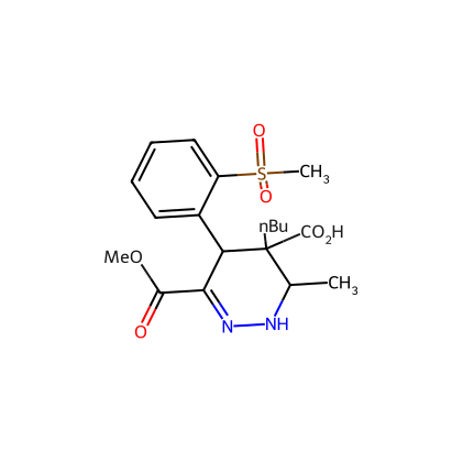 CCCCC1(C(=O)O)C(C)NN=C(C(=O)OC)C1c1ccccc1S(C)(=O)=O